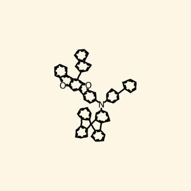 c1ccc(-c2ccc(N(c3ccc4c(c3)C3(c5ccccc5-c5ccccc53)c3ccccc3-4)c3ccc4c(c3)oc3c(-c5ccc6ccccc6c5)c5c(cc34)oc3ccccc35)cc2)cc1